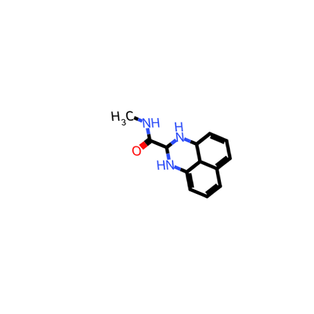 CNC(=O)C1NC2=CC=CC3=CC=CC(N1)C32